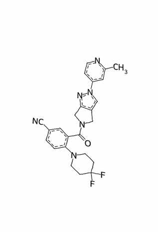 Cc1cc(-n2cc3c(n2)CN(C(=O)c2cc(C#N)ccc2N2CCC(F)(F)CC2)C3)ccn1